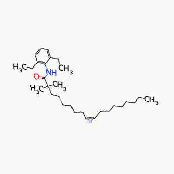 CCCCCCCC/C=C\CCCCCCC(C)(C)C(=O)Nc1c(CC)cccc1CC